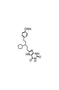 COc1ccc(CCC(CCc2nc3[nH]c(=O)[nH]c(=O)c3[nH]2)C2CCCC2)cc1